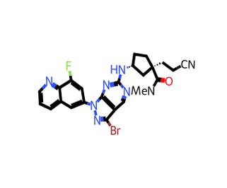 CNC(=O)[C@]1(CCC#N)CC[C@@H](Nc2ncc3c(Br)nn(-c4cc(F)c5ncccc5c4)c3n2)C1